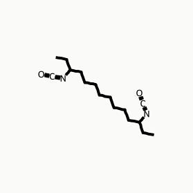 CCC(CCCCCCCCC(CC)N=C=O)N=C=O